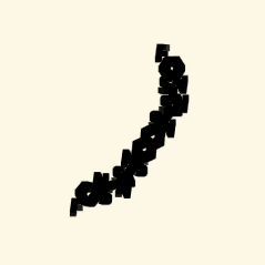 Fc1ccc2nc(-c3ncc(-c4nc5cc6cc7sc(-c8cnc(-c9nc%10ccc(F)cc%10s9)s8)nc7cc6cc5s4)s3)sc2c1